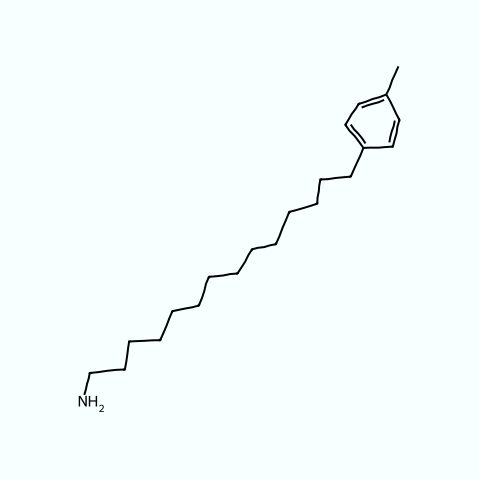 Cc1ccc(CCCCCCCCCCCCCCN)cc1